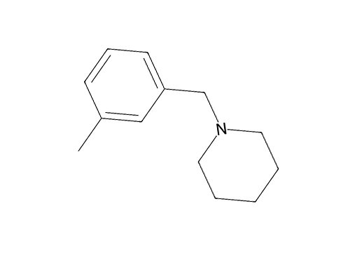 Cc1cccc(CN2CCCCC2)c1